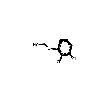 N#CCOc1[c]ccc(Cl)c1Cl